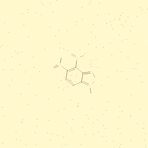 O=[N+]([O-])c1ccc2c(no[n+]2[O-])c1[N+](=O)[O-].[CaH2]